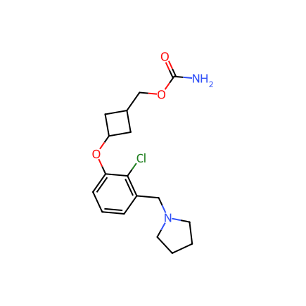 NC(=O)OCC1CC(Oc2cccc(CN3CCCC3)c2Cl)C1